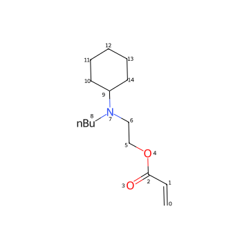 C=CC(=O)OCCN(CCCC)C1CCCCC1